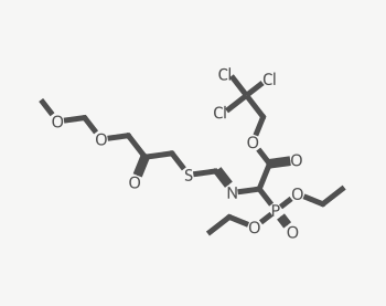 CCOP(=O)(OCC)C(N=CSCC(=O)COCOC)C(=O)OCC(Cl)(Cl)Cl